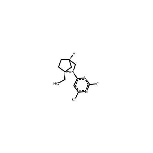 OC[C@]12CC[C@H](CN1c1cc(Cl)nc(Cl)n1)C2